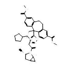 CNC(=O)c1ccc2c(c1)CCc1cc(C(=O)NC)ccc1C2(C[C@@H](NCC(=O)N1[C@H](C#N)C[C@@H]2C[C@@H]21)C1CCCC1)c1nnn[nH]1